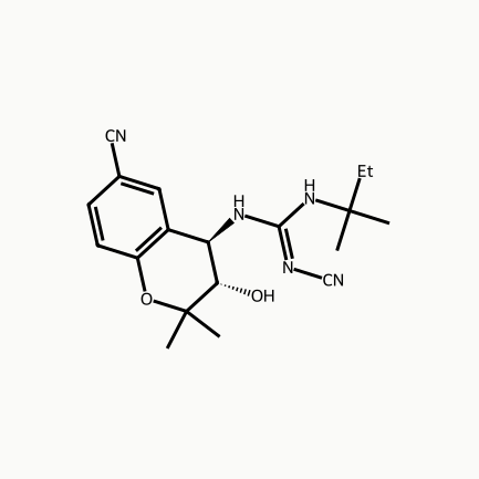 CCC(C)(C)NC(=NC#N)N[C@@H]1c2cc(C#N)ccc2OC(C)(C)[C@H]1O